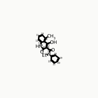 CCN(C(=O)c1c(O)c2c(C)cccc2[nH]c1=O)c1ccccc1